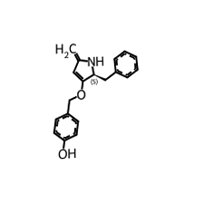 C=C1C=C(OCc2ccc(O)cc2)[C@H](Cc2ccccc2)N1